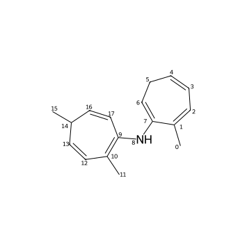 CC1=CC=CCC=C1NC1=C(C)C=CC(C)C=C1